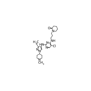 CCc1nn(C2CCN(C)CC2)cc1Nc1ncc(Cl)c(NCCCN2CCCCC2=O)n1